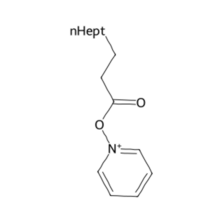 CCCCCCCCCC(=O)O[n+]1ccccc1